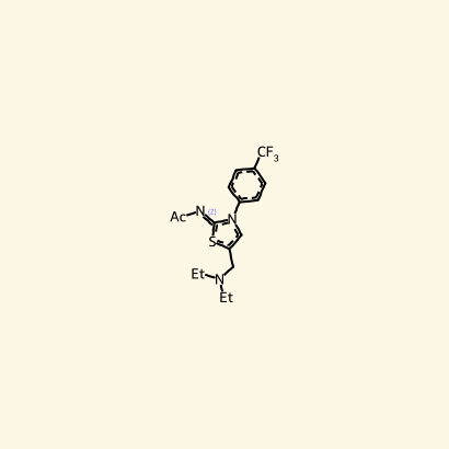 CCN(CC)Cc1cn(-c2ccc(C(F)(F)F)cc2)/c(=N/C(C)=O)s1